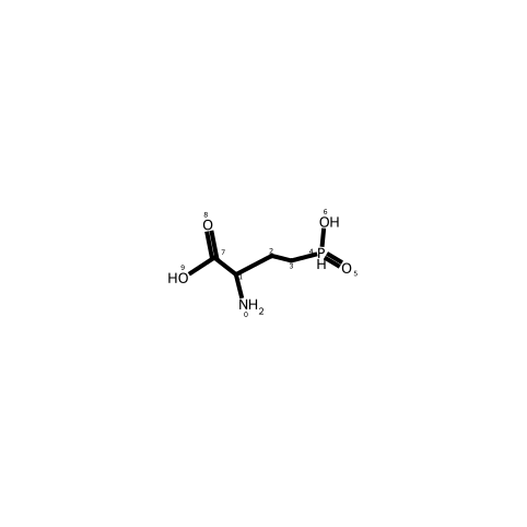 NC(CC[PH](=O)O)C(=O)O